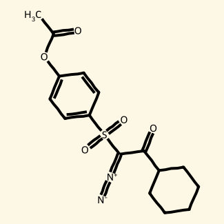 CC(=O)Oc1ccc(S(=O)(=O)C(=[N+]=[N-])C(=O)C2CCCCC2)cc1